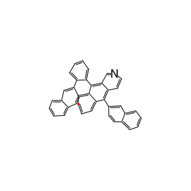 c1ccc(-c2c3ccccc3c(-c3ccc4ccccc4c3)c3ccncc23)c(-c2ccc3ccccc3c2)c1